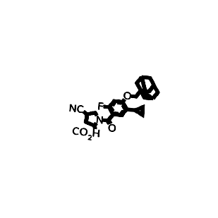 N#CC1CC(C(=O)O)N(C(=O)c2cc(C3CC3)c(OCC34CC5CC(CC(C5)C3)C4)cc2F)C1